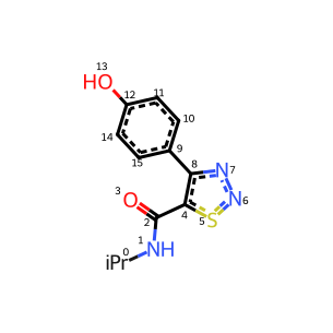 CC(C)NC(=O)c1snnc1-c1ccc(O)cc1